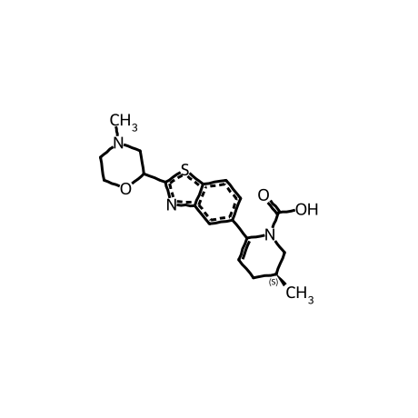 C[C@H]1CC=C(c2ccc3sc(C4CN(C)CCO4)nc3c2)N(C(=O)O)C1